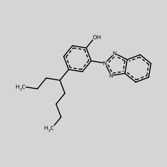 CCCCC(CCC)c1ccc(O)c(-n2nc3ccccc3n2)c1